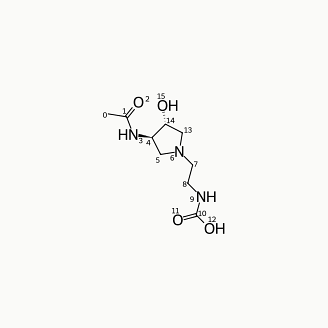 CC(=O)N[C@@H]1CN(CCNC(=O)O)C[C@H]1O